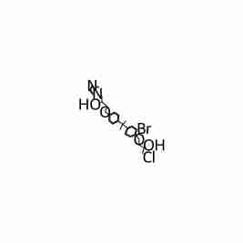 CC(C)(c1ccc(OC[C@@H](O)Cn2ccnc2)cc1)c1ccc(OC[C@H](O)CCl)c(Br)c1